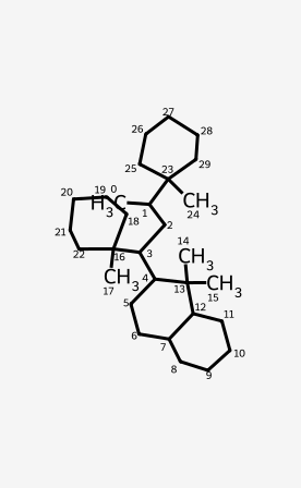 CC(CC(C1CCC2CCCCC2C1(C)C)C1(C)CCCCC1)C1(C)CCCCC1